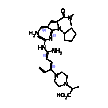 C=C/C(=C\C=C(/N)NC(=C)/N=C1\C(=C/N)C=C(C(=O)N(C)C)N1C1CCCC1)N1CCN(C(C)C(=O)O)CC1